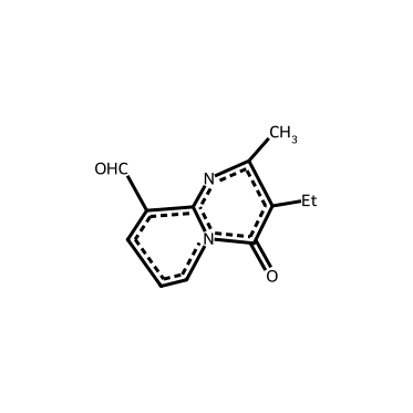 CCc1c(C)nc2c(C=O)cccn2c1=O